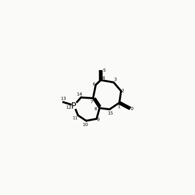 C=C1CCC(=C)CC2=C(CCCP(C)C2)C1